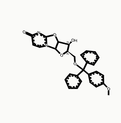 COc1ccc(C(OC[C@H]2OC3C(Oc4nc(=O)ccn43)[C@H]2O)(c2ccccc2)c2ccccc2)cc1